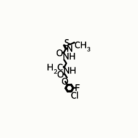 C=C(CCNC(=O)c1csc(CC)n1)NC(=O)COc1ccc(Cl)c(F)c1